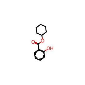 O=C(OC1CCCCC1)c1ccccc1O